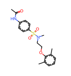 CC(=O)Nc1ccc(S(=O)(=O)N(C)CCOc2c(C)cccc2C)cc1